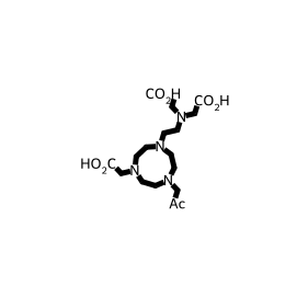 CC(=O)CN1CCN(CCN(CC(=O)O)CC(=O)O)CCN(CC(=O)O)CC1